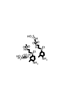 CCN(CCNS(C)(=O)=O)c1ccc(N)c(C)c1.CCN(CCNS(C)(=O)=O)c1ccc(N)c(C)c1.O.O=S(=O)(O)O.O=S(=O)(O)O.O=S(=O)(O)O